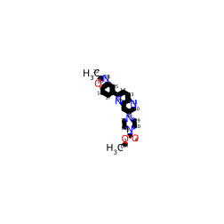 CCOC(=O)N1CCN(c2cnc3ccc(-c4ccc5oc(C)nc5c4)nc3c2)CC1